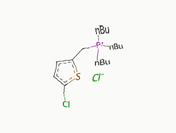 CCCC[P+](CCCC)(CCCC)Cc1ccc(Cl)s1.[Cl-]